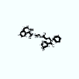 O=C(CCN(C(=O)c1cncc(F)c1)c1ccccc1)NCCOC(=O)C1NCCc2ccccc21